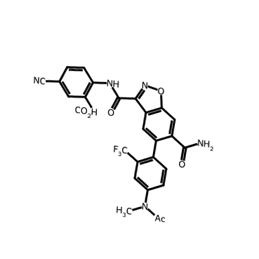 CC(=O)N(C)c1ccc(-c2cc3c(C(=O)Nc4ccc(C#N)cc4C(=O)O)noc3cc2C(N)=O)c(C(F)(F)F)c1